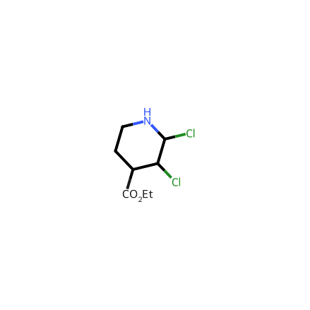 CCOC(=O)C1CCNC(Cl)C1Cl